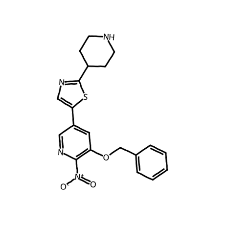 O=[N+]([O-])c1ncc(-c2cnc(C3CCNCC3)s2)cc1OCc1ccccc1